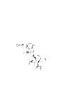 CCOc1cc([C@@H](CS(C)(=O)=O)N2Cc3c(Cl)ccc(NC(=O)C4CC4)c3C2=O)ccc1OC